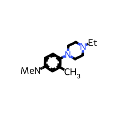 CCN1CCN(c2ccc(NC)cc2C)CC1